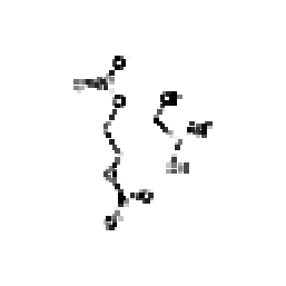 O=[N+]([O-])OCCO[N+](=O)[O-].OCCO.[Ag+]